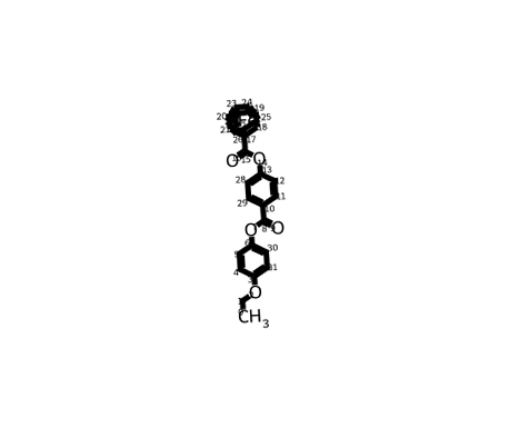 CCOc1ccc(OC(=O)c2ccc(OC(=O)[C]34[CH]5[CH]6[CH]7[CH]3[Fe]6754389%10[CH]4[CH]3[CH]8[CH]9[CH]4%10)cc2)cc1